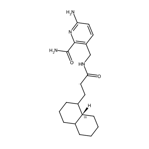 NC(=O)c1nc(N)ccc1CNC(=O)[CH]CC1CCCC2CCCC[C@@H]12